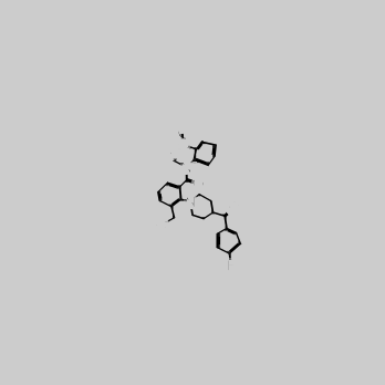 CCN(C(=O)c1cccc(CO)c1N1CCC(C(=O)c2ccc(F)cc2)CC1)c1ccccc1OC